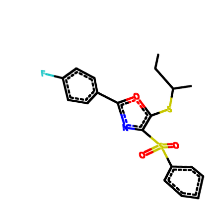 CCC(C)Sc1oc(-c2ccc(F)cc2)nc1S(=O)(=O)c1ccccc1